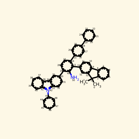 CC1(C)c2ccccc2-c2ccc(-c3c(-c4ccc(-c5ccccc5)cc4)ccc(-c4ccc5c(c4)c4ccccc4n5-c4ccccc4)c3N)cc21